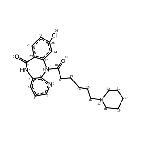 O=C1Nc2cccnc2N(C(=O)CCCCCN2CCCCC2)c2cc(Cl)ccc21